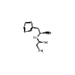 CCC(O)N[C@H](C#N)Cc1ccccc1